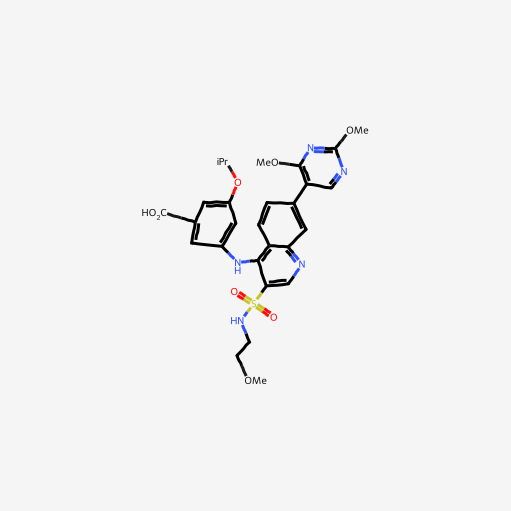 COCCNS(=O)(=O)c1cnc2cc(-c3cnc(OC)nc3OC)ccc2c1Nc1cc(OC(C)C)cc(C(=O)O)c1